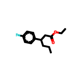 CCCC(CC(=O)OCC)c1ccc(F)cc1